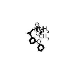 CC(=O)ON(CC1CC1c1cccc(Oc2ccccc2)c1)C(N)=O